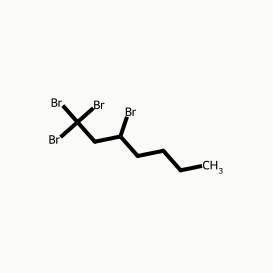 CCCCC(Br)CC(Br)(Br)Br